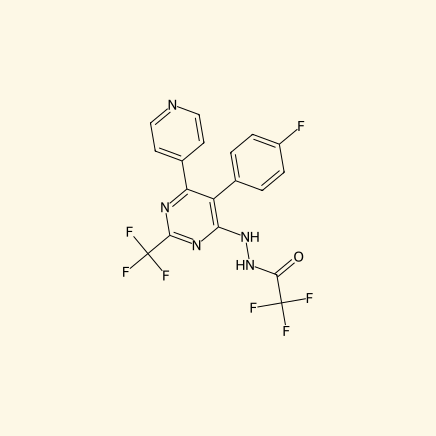 O=C(NNc1nc(C(F)(F)F)nc(-c2ccncc2)c1-c1ccc(F)cc1)C(F)(F)F